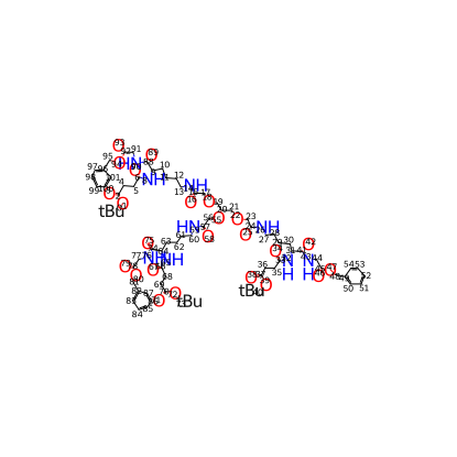 CC(C)(C)OC(=O)CCC(=O)NC(CCCCNC(=O)COCC(COCC(=O)NCCCCC(NC(=O)CCC(=O)OC(C)(C)C)C(=O)NCC(=O)OCc1ccccc1)OCC(=O)NCCCCC(NC(=O)CCC(=O)OC(C)(C)C)C(=O)NCC(=O)OCc1ccccc1)C(=O)NCC(=O)OCc1ccccc1